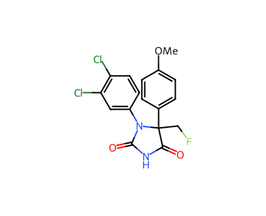 COc1ccc(C2(CF)C(=O)NC(=O)N2c2ccc(Cl)c(Cl)c2)cc1